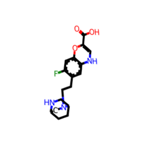 O=C(O)C1=CNc2cc(CCN3CC4CCC3CN4)c(F)cc2O1